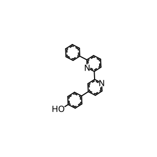 Oc1ccc(-c2ccnc(-c3cccc(-c4ccccc4)n3)c2)cc1